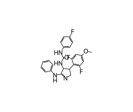 COc1cc(F)c(C2CN=C(Nc3ccccc3)C2NC(=O)Nc2ccc(F)cc2)c(F)c1